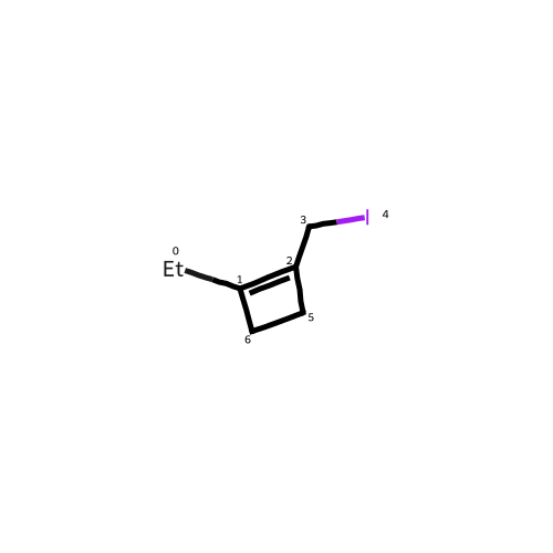 CCC1=C(CI)CC1